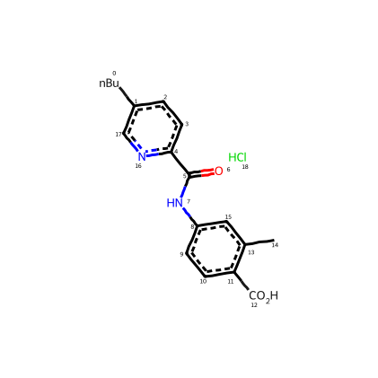 CCCCc1ccc(C(=O)Nc2ccc(C(=O)O)c(C)c2)nc1.Cl